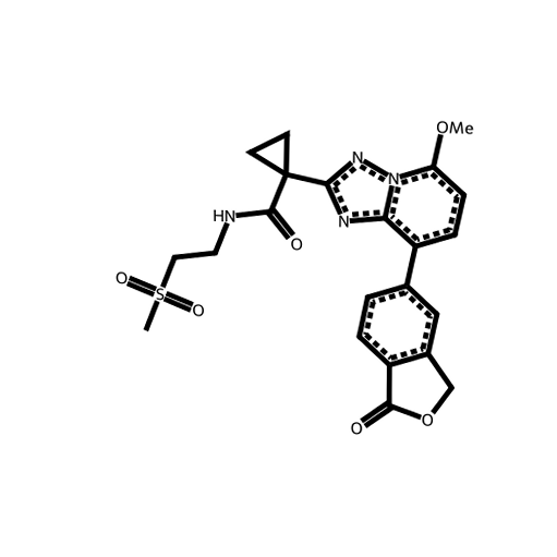 COc1ccc(-c2ccc3c(c2)COC3=O)c2nc(C3(C(=O)NCCS(C)(=O)=O)CC3)nn12